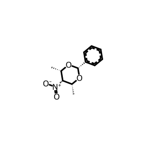 C[C@@H]1O[C@H](c2ccccc2)O[C@H](C)[C@@H]1[N+](=O)[O-]